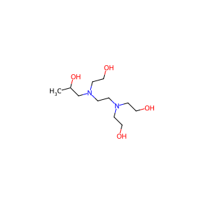 CC(O)CN(CCO)CCN(CCO)CCO